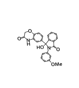 COc1cccc(N2C(=O)c3ccccc3C2(O)c2ccc3c(c2)NC(=O)CO3)c1